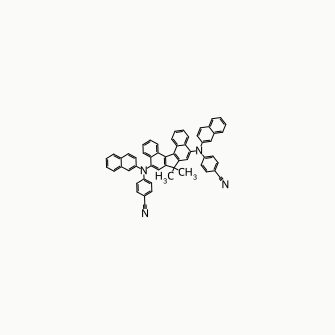 CC1(C)c2cc(N(c3ccc(C#N)cc3)c3ccc4ccccc4c3)c3ccccc3c2-c2c1cc(N(c1ccc(C#N)cc1)c1ccc3ccccc3c1)c1ccccc21